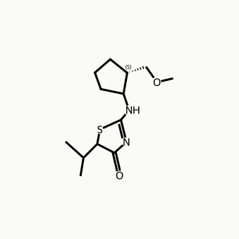 COC[C@H]1CCCC1NC1=NC(=O)C(C(C)C)S1